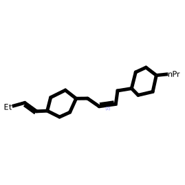 CCC=CC1CCC(C/C=C\CC2CCC(CCC)CC2)CC1